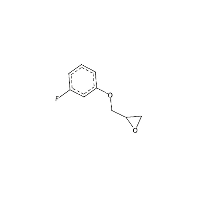 Fc1cccc(OCC2CO2)c1